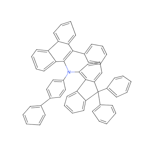 c1ccc(-c2ccc(N(c3cccc4c3-c3ccccc3C4(c3ccccc3)c3ccccc3)c3c(-c4ccccc4)c4ccccc4c4ccccc34)cc2)cc1